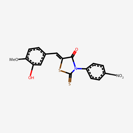 COc1ccc(/C=C2\SC(=S)N(c3ccc([N+](=O)[O-])cc3)C2=O)cc1O